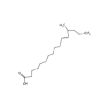 CCCC(C)CCCCCCCCCCCC(=O)O